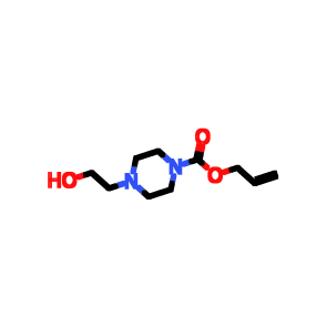 C=CCOC(=O)N1CCN(CCO)CC1